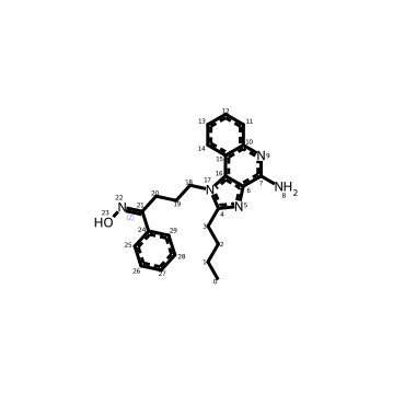 CCCCc1nc2c(N)nc3ccccc3c2n1CCC/C(=N/O)c1ccccc1